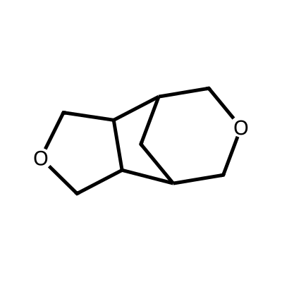 C1OCC2CC1C1COCC21